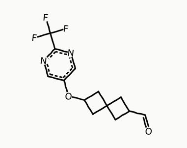 O=CC1CC2(C1)CC(Oc1cnc(C(F)(F)F)nc1)C2